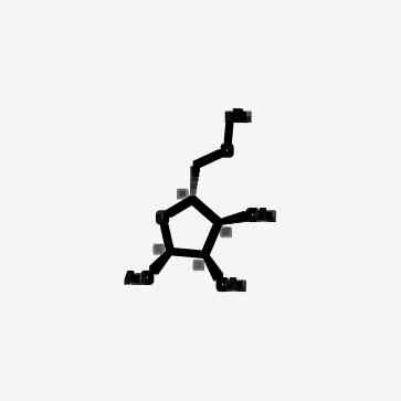 CCCCOC[C@H]1O[C@H](OC(C)=O)[C@H](OC(C)=O)[C@@H]1OC(C)=O